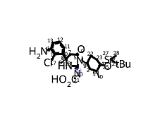 C[C@H]1C[C@@H](N2C(=O)C[C@@](C)(c3cccc(N)c3Cl)N/C2=N\C(=O)O)CCC1O[Si](C)(C)C(C)(C)C